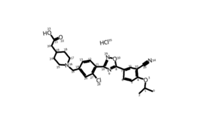 CC(C)Oc1ccc(-c2nc(-c3ccc(CN4CCC(CC(=O)O)CC4)cc3Cl)no2)cc1C#N.Cl